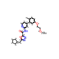 Cc1ccc(OCCOC(C)(C)C)cc1-c1ccnc(NC(=O)c2nnc(CC3CCCC3)o2)c1